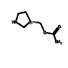 NC(=O)OC[C@H]1CCNC1